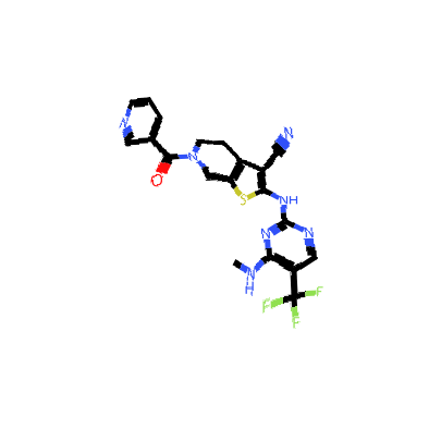 CNc1nc(Nc2sc3c(c2C#N)CCN(C(=O)c2cccnc2)C3)ncc1C(F)(F)F